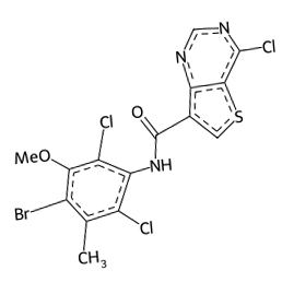 COc1c(Cl)c(NC(=O)c2csc3c(Cl)ncnc23)c(Cl)c(C)c1Br